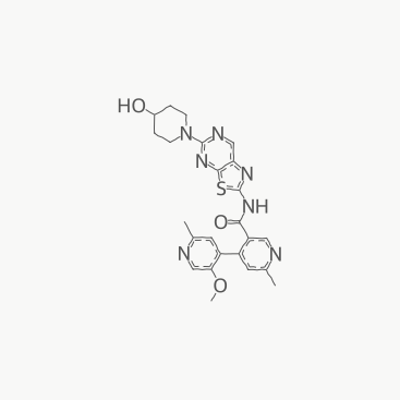 COc1cnc(C)cc1-c1cc(C)ncc1C(=O)Nc1nc2cnc(N3CCC(O)CC3)nc2s1